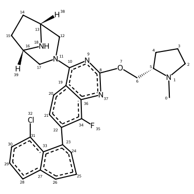 CN1CCC[C@H]1COc1nc(N2C[C@H]3CC[C@@H](C2)N3)c2ccc(-c3cccc4cccc(Cl)c34)c(F)c2n1